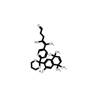 C/C(=C(/O)CCC=O)c1ccc(C2(c3cc4c(cc3C)C(C)(C)C=CC4(C)C)OCCCO2)nc1